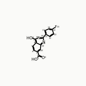 O=C(O)c1ccc2c(O)nc(-c3ccc(F)cc3)nc2c1